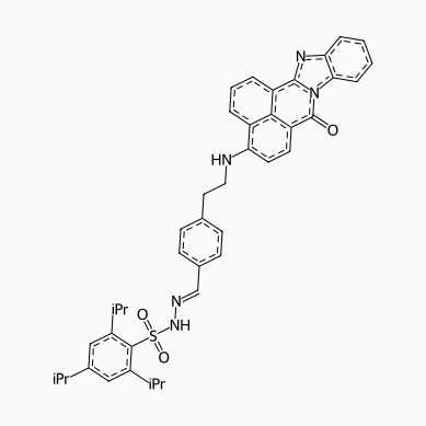 CC(C)c1cc(C(C)C)c(S(=O)(=O)N/N=C/c2ccc(CCNc3ccc4c(=O)n5c6ccccc6nc5c5cccc3c45)cc2)c(C(C)C)c1